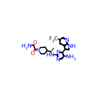 C[C@@H](Nc1ncc(N)c(-c2c[nH]c3ncc(C(F)(F)F)cc23)n1)C1CCN(C(=O)C(N)=O)CC1